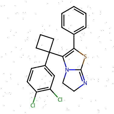 Clc1ccc(C2(C3=C(c4ccccc4)SC4=NCCN43)CCC2)cc1Cl